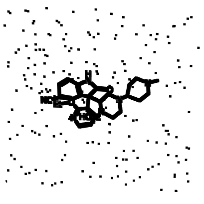 CCOc1ncccc1C1(C2CN(C3CCN(C)CC3)CCN2C(=O)O)C(=O)Nc2ccc(C#N)cc21